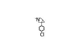 CN1CC2CC2(c2ccc(Cl)cc2)C1